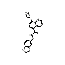 CSSc1ccc(C(=O)NCc2ccc3c(c2)CCO3)c2cccnc12